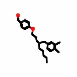 CCCCCC(CCCOc1ccc(C=O)cc1)Cc1ccc(C)c(C)c1